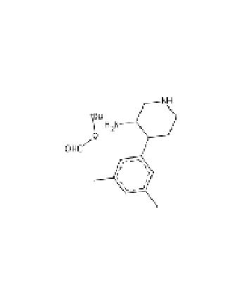 CC(C)(C)OC=O.Cc1cc(C)cc(C2CCNCC2N)c1